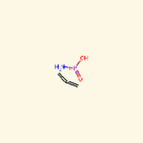 C=C=C.N[PH](=O)O